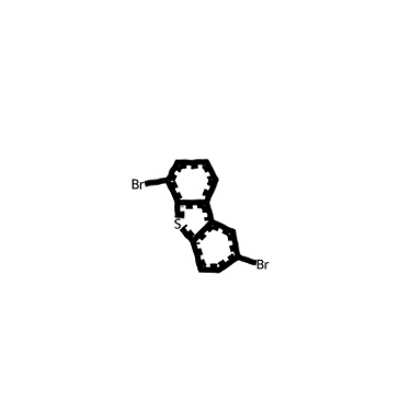 Brc1ccc2sc3c(Br)cccc3c2c1